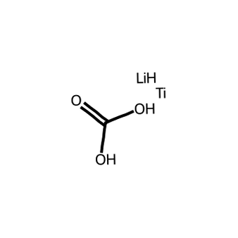 O=C(O)O.[LiH].[Ti]